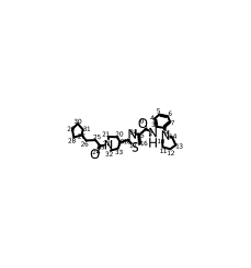 O=C(Nc1ccccc1N1CCCCC1)c1csc(C2CCN(C(=O)CCC3CCCC3)CC2)n1